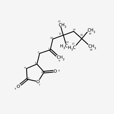 C=C(CC1CC(=O)OC1=O)CC(C)(C)CC(C)(C)C